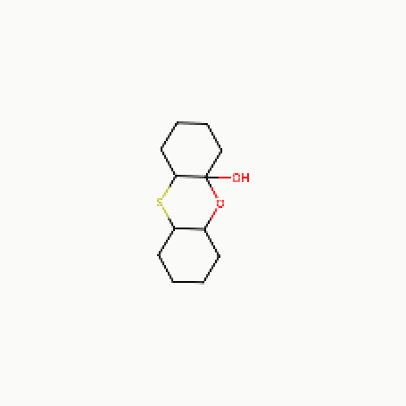 OC12CCCCC1SC1CCCCC1O2